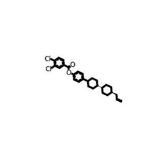 C=CC[C@H]1CC[C@H](C2CCC(c3ccc(OC(=O)c4ccc(Cl)c(Cl)c4)cc3)CC2)CC1